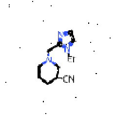 CCn1ccnc1CN1CCC[C@H](C#N)C1